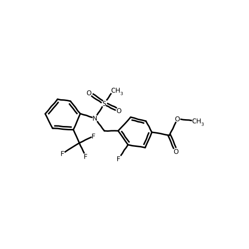 COC(=O)c1ccc(CN(c2ccccc2C(F)(F)F)S(C)(=O)=O)c(F)c1